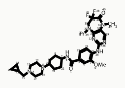 COc1cc(C(=O)NC2CCC(N3CCN(CC4CC4)CC3)CC2)ccc1Nc1ncc2c(n1)N(C(C)C)CC(F)(F)C(=O)N2C